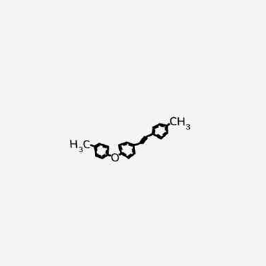 Cc1ccc(C#Cc2ccc(Oc3ccc(C)cc3)cc2)cc1